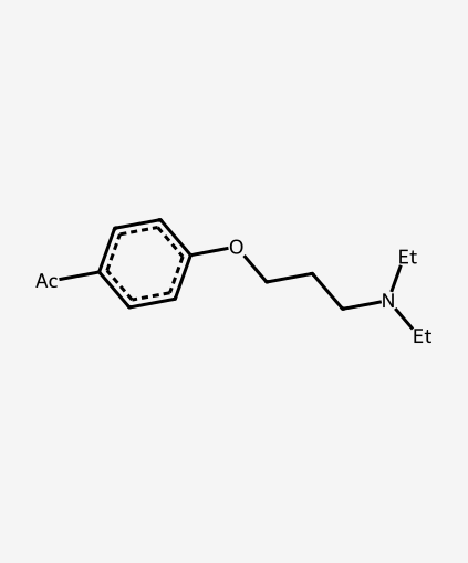 CCN(CC)CCCOc1ccc(C(C)=O)cc1